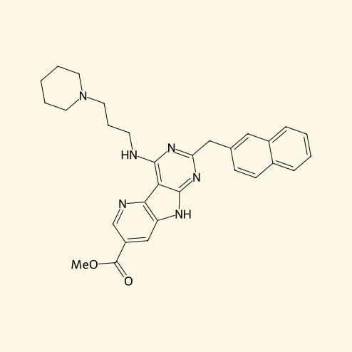 COC(=O)c1cnc2c(c1)[nH]c1nc(Cc3ccc4ccccc4c3)nc(NCCCN3CCCCC3)c12